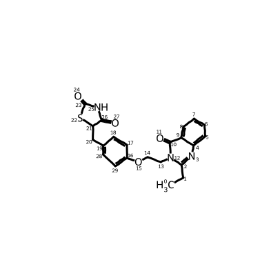 CCc1nc2ccccc2c(=O)n1CCOc1ccc(CC2SC(=O)NC2=O)cc1